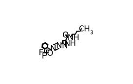 CCCCCNC(=O)c1cc(N2CCN(C(=O)c3ccccc3C(F)(F)F)CC2)n[nH]1